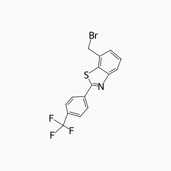 FC(F)(F)c1ccc(-c2nc3cccc(CBr)c3s2)cc1